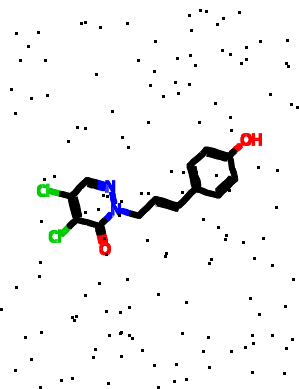 O=c1c(Cl)c(Cl)cnn1C/C=C/c1ccc(O)cc1